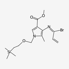 C=C/C(Br)=N\c1c(C(=O)OC)cn(COCC[Si](C)(C)C)c1C